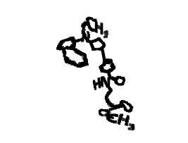 CCN(c1cccc2ccccc12)C1CCC(c2ccc(C(=O)NCCC(=O)OC)cc2)C1